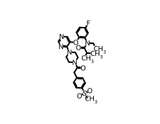 CCN(C(=O)C(C)C)c1cc(F)ccc1Oc1cncnc1N1CCN(C(=O)Cc2ccc(S(C)(=O)=O)cc2)CC1